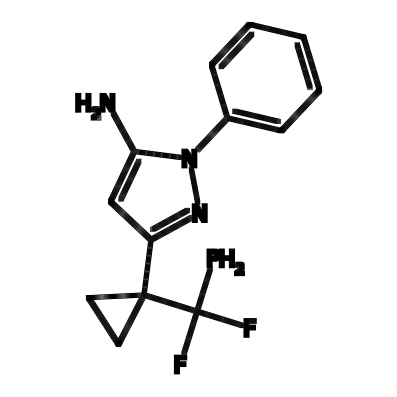 Nc1cc(C2(C(F)(F)P)CC2)nn1-c1ccccc1